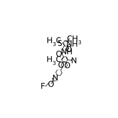 CSc1cc(C)[nH]c(=O)c1CNC(=O)c1cc(C#N)c2c(c1C)O[C@@H]([C@H]1CC[C@@H](N3CC(OCCF)C3)CC1)CO2